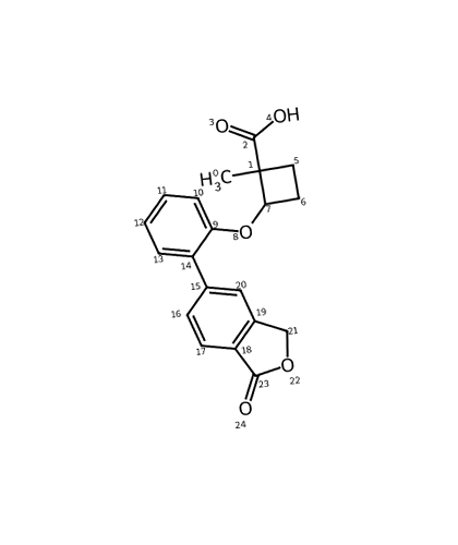 CC1(C(=O)O)CCC1Oc1ccccc1-c1ccc2c(c1)COC2=O